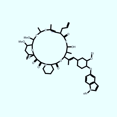 C=CCC1/C=C(\C)CC(C)CC(OC)C2OC(O)(C(=O)C(=O)N3CCCCC3C(=O)OC(C(C)=CC3CCC(Oc4ccc5c(ccn5CCC)c4)C(OCC)C3)C(C)C(O)CC1=O)C(C)CC2OC